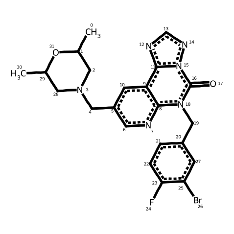 CC1CN(Cc2cnc3c(c2)c2ncnn2c(=O)n3Cc2ccc(F)c(Br)c2)CC(C)O1